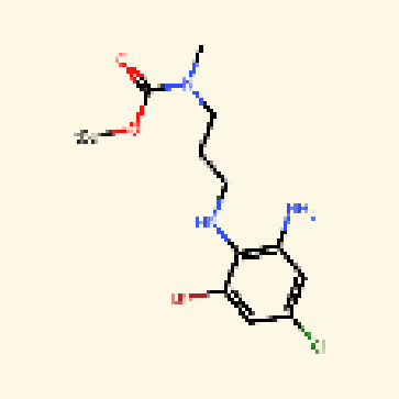 CN(CCCNc1c(N)cc(Cl)cc1Br)C(=O)OC(C)(C)C